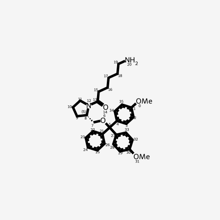 COc1ccc(C(OC[C@@H]2CCCN2C(=O)CCCCCN)(c2ccccc2)c2ccc(OC)cc2)cc1